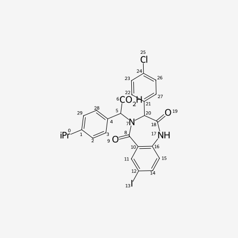 CC(C)c1ccc(C(C(=O)O)N2C(=O)c3cc(I)ccc3NC(=O)C2c2ccc(Cl)cc2)cc1